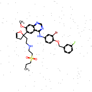 CCCS(=O)(=O)CCNCCC1(c2cc3c(Nc4ccc(OCc5cccc(F)c5)c(Br)c4)ncnc3cc2OC)CC=CO1